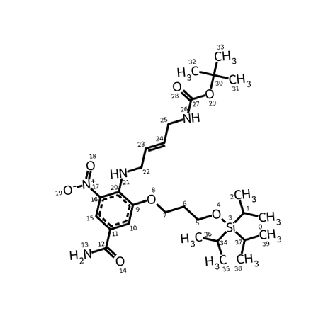 CC(C)[Si](OCCCOc1cc(C(N)=O)cc([N+](=O)[O-])c1NC/C=C/CNC(=O)OC(C)(C)C)(C(C)C)C(C)C